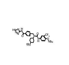 CCCCOc1ccc(NC(=O)N(Cc2ccc(C(=O)Nc3nn[nH]n3)cc2)C2CCC(C(C)(C)C)CC2)cc1C(F)(F)F